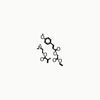 C=C(C)C(=O)OCCN(C)C.C=COC(=O)COC(=O)C=Cc1ccc(OC)cc1